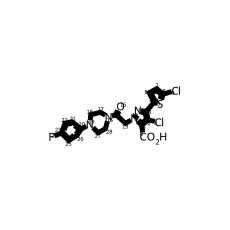 O=C(O)c1c(Cl)c(-c2ccc(Cl)s2)nn1CC(=O)N1CCN(c2ccc(F)cc2)CC1